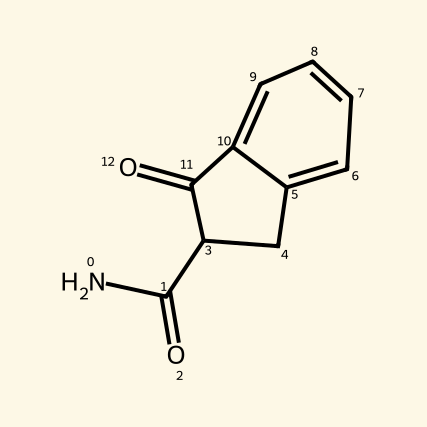 NC(=O)C1Cc2ccccc2C1=O